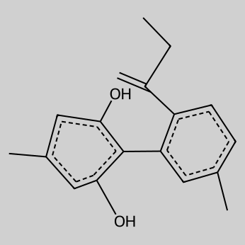 C=C(CC)c1ccc(C)cc1-c1c(O)cc(C)cc1O